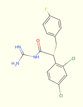 N=C(N)NC(=O)[C@H](Cc1ccc(F)cc1)c1ccc(Cl)cc1Cl